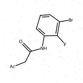 CC(=O)CC(=O)Nc1cccc(Br)c1F